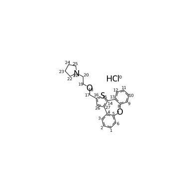 Cl.c1ccc2c(c1)Oc1ccccc1-c1sc(COCCN3CCCC3)cc1-2